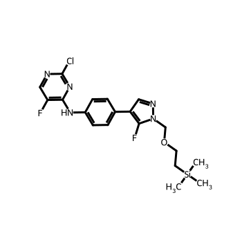 C[Si](C)(C)CCOCn1ncc(-c2ccc(Nc3nc(Cl)ncc3F)cc2)c1F